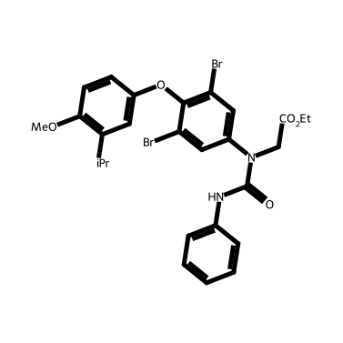 CCOC(=O)CN(C(=O)Nc1ccccc1)c1cc(Br)c(Oc2ccc(OC)c(C(C)C)c2)c(Br)c1